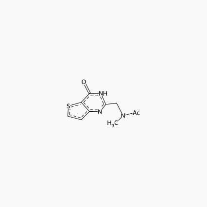 CC(=O)N(C)Cc1nc2ccsc2c(=O)[nH]1